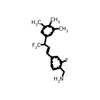 Cc1cc(C(/C=C/c2ccc(CN)c(F)c2)C(F)(F)F)cc(C)c1C